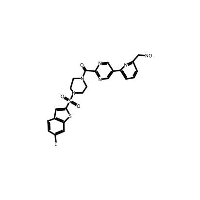 O=NCc1cccc(-c2cnc(C(=O)N3CCN(S(=O)(=O)c4cc5ccc(Cl)cc5s4)CC3)nc2)n1